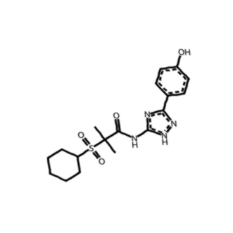 CC(C)(C(=O)Nc1nc(-c2ccc(O)cc2)n[nH]1)S(=O)(=O)C1CCCCC1